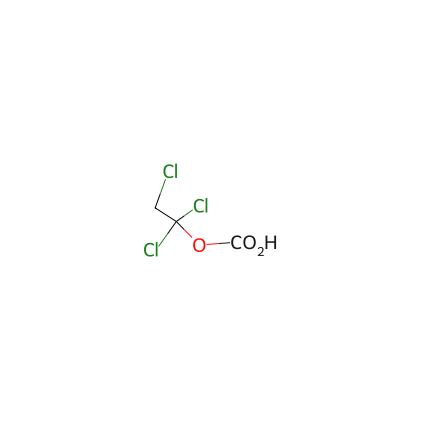 O=C(O)OC(Cl)(Cl)CCl